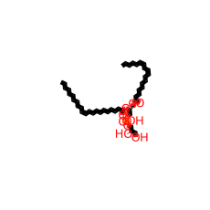 CCCCC/C=C\C/C=C\CCCCCCCC(=O)OC[C@H](COP(=O)(O)OC[C@@H](O)CO)OC(=O)CCCCCCCCC/C=C\CCCCCCCCCC